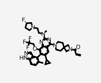 C=CC(=O)N1CC2(CCN(c3nc(N(C)CCN4CC[C@H](F)C4)nc4c(OCC(F)(F)F)c(-c5c(C)ccc6[nH]ncc56)c(C5CC5)cc34)CC2)C1